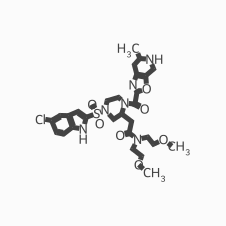 COCCN(CCOC)C(=O)CC1CN(S(=O)(=O)c2cc3cc(Cl)ccc3[nH]2)CCN1C(=O)c1nc2c(o1)CNC(C)C2